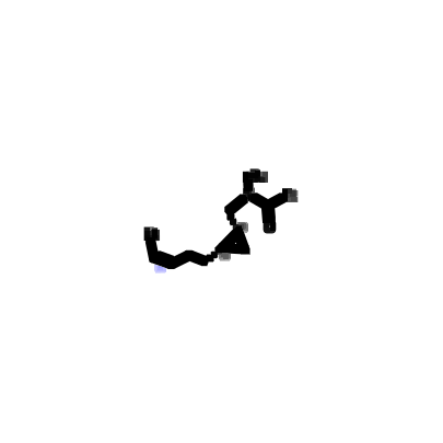 CC/C=C\CC[C@H]1C[C@H]1CN(CCCC)C(=O)CC